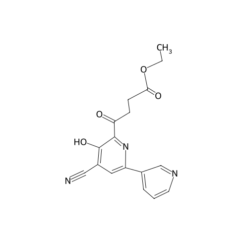 CCOC(=O)CCC(=O)c1nc(-c2cccnc2)cc(C#N)c1O